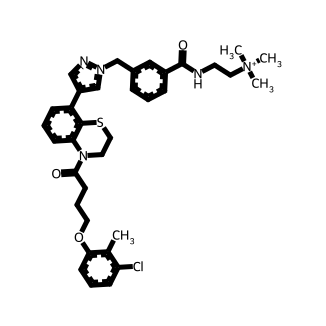 Cc1c(Cl)cccc1OCCCC(=O)N1CCSc2c(-c3cnn(Cc4cccc(C(=O)NCC[N+](C)(C)C)c4)c3)cccc21